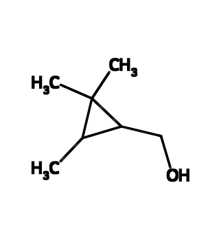 CC1C(CO)C1(C)C